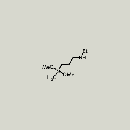 CCNCCC[Si](C)(OC)OC